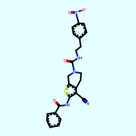 N#Cc1c(NC(=O)c2ccccc2)sc2c1CCN(C(=O)NCCc1ccc([N+](=O)[O-])cc1)C2